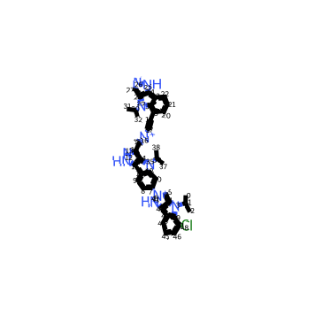 CC(C)n1c2c[n+](-c3ccc4c5[nH]nc(C#[N+]C#Cc6cccc7c8[nH]ncc8n(C(C)C)c67)c5n(C(C)C)c4c3)[nH]c2c2cccc(Cl)c21